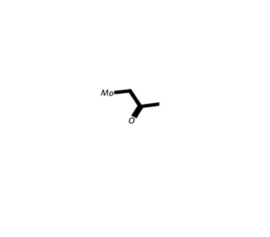 CC(=O)[CH2][Mo]